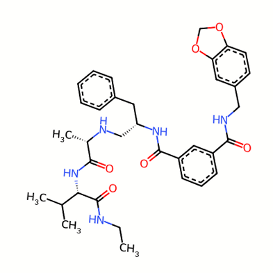 CCNC(=O)[C@@H](NC(=O)[C@H](C)NC[C@H](Cc1ccccc1)NC(=O)c1cccc(C(=O)NCc2ccc3c(c2)OCO3)c1)C(C)C